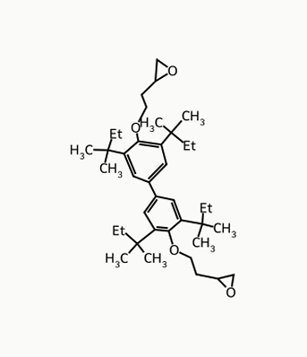 CCC(C)(C)c1cc(-c2cc(C(C)(C)CC)c(OCCC3CO3)c(C(C)(C)CC)c2)cc(C(C)(C)CC)c1OCCC1CO1